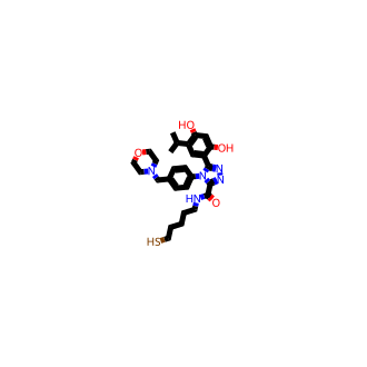 CC(C)c1cc(-c2nnc(C(=O)NCCCCCS)n2-c2ccc(CN3CCOCC3)cc2)c(O)cc1O